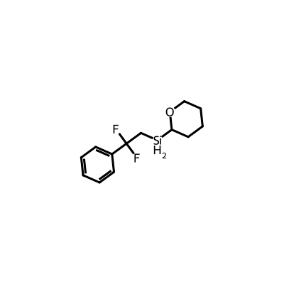 FC(F)(C[SiH2]C1CCCCO1)c1ccccc1